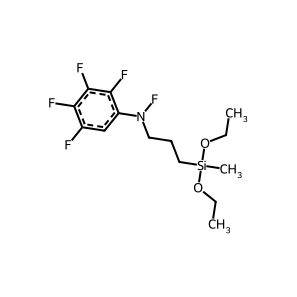 CCO[Si](C)(CCCN(F)c1cc(F)c(F)c(F)c1F)OCC